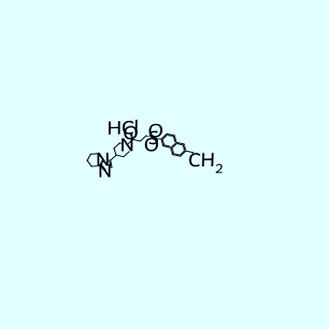 C=Cc1ccc2cc(S(=O)(=O)CCC(=O)N3CCC(c4cnc5n4CCCC5)CC3)ccc2c1.Cl